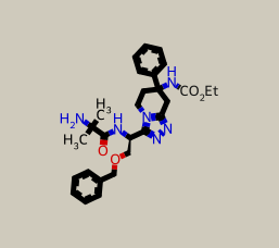 CCOC(=O)NC1(c2ccccc2)CCn2c(nnc2[C@@H](COCc2ccccc2)NC(=O)C(C)(C)N)C1